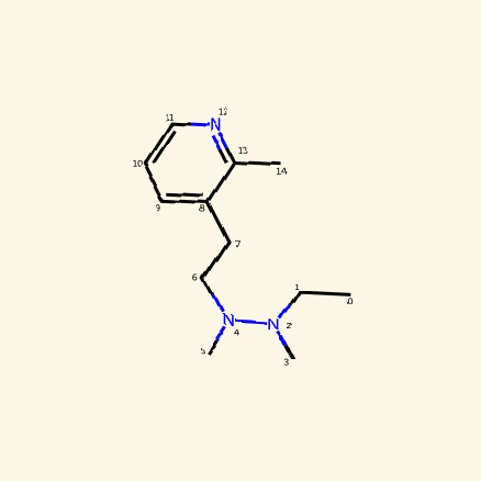 CCN(C)N(C)CCc1cccnc1C